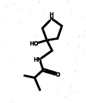 CC(C)C(=O)NCC1(O)CCNC1